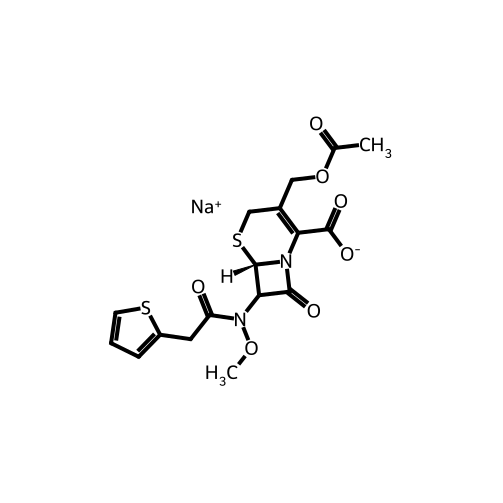 CON(C(=O)Cc1cccs1)C1C(=O)N2C(C(=O)[O-])=C(COC(C)=O)CS[C@@H]12.[Na+]